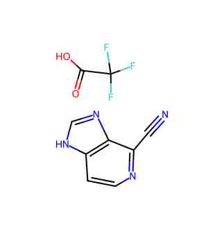 N#Cc1nccc2[nH]cnc12.O=C(O)C(F)(F)F